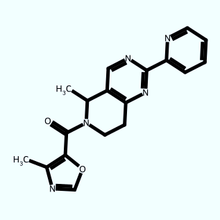 Cc1ncoc1C(=O)N1CCc2nc(-c3ccccn3)ncc2C1C